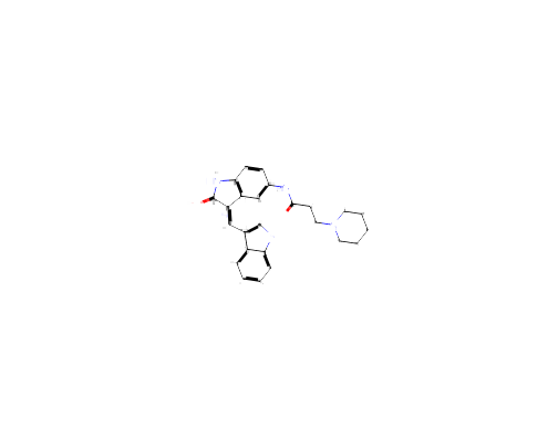 O=C(CCN1CCCCC1)Nc1ccc2c(c1)/C(=C\c1c[nH]c3ccccc13)C(=O)N2